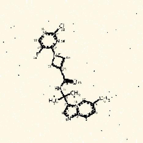 Cc1ccc2ncc(C(C)(C)NC(=O)C3CN(c4nc(Cl)ncc4F)C3)n2c1